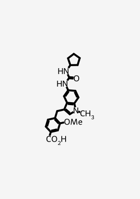 COc1cc(C(=O)O)ccc1Cc1cn(C)c2ccc(NC(=O)NC3CCCC3)cc12